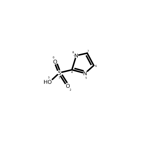 O=S(=O)(O)C1=NC=C[N]1